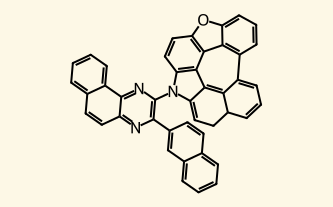 C1=CC2CC=c3c4c5c6c(ccc5n3-c3nc5c(ccc7ccccc75)nc3-c3ccc5ccccc5c3)oc3cccc(c36)C(=C1)C=42